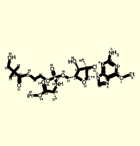 CCOc1nc(N)nc2c1ncn2[C@@H]1O[C@H](COP(=O)(N[C@H](C)C(=O)OC(C)C)OCCSC(=O)C(C)(C)CO)[C@@H](O)[C@@]1(C)Cl